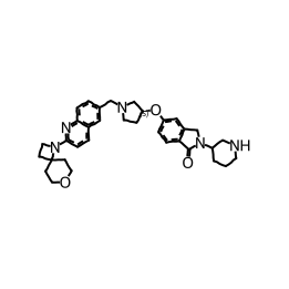 O=C1c2ccc(O[C@H]3CCN(Cc4ccc5nc(N6CCC67CCOCC7)ccc5c4)C3)cc2CN1C1CCCNC1